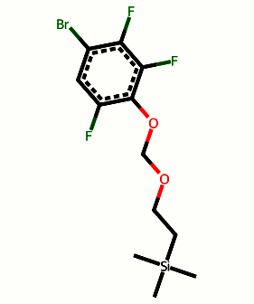 C[Si](C)(C)CCOCOc1c(F)cc(Br)c(F)c1F